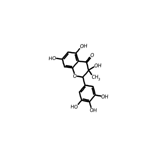 CC1(O)C(=O)c2c(O)cc(O)cc2OC1c1cc(O)c(O)c(O)c1